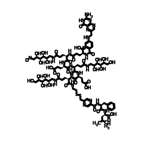 CC(C)C[C@H](NC(=O)[C@H](Cc1ccccc1)NC(=O)c1cnc(CSSCCNC(=O)[C@H](CCC(=O)NC[C@H](O)[C@@H](O)[C@H](O)[C@H](O)CO)NC(=O)[C@H](CCC(=O)O)NC(=O)[C@H](CCC(=O)NC[C@H](O)[C@@H](O)[C@H](O)[C@H](O)CO)NC(=O)[C@H](CCC(=O)O)NC(=O)[C@H](CCC(=O)NC[C@H](O)[C@@H](O)[C@H](O)[C@H](O)CN=O)NC(=O)CC[C@H](NC(=O)c2ccc(NCc3cnc4nc(N)[nH]c(=O)c4n3)cc2)C(=O)O)cn1)B(O)O